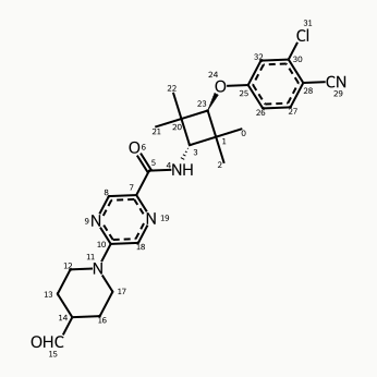 CC1(C)[C@H](NC(=O)c2cnc(N3CCC(C=O)CC3)cn2)C(C)(C)[C@H]1Oc1ccc(C#N)c(Cl)c1